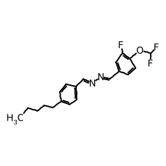 CCCCCc1ccc(C=NN=Cc2ccc(OC(F)F)c(F)c2)cc1